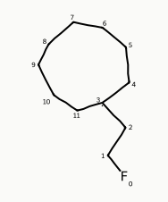 FCC[C]1CCCCCCCC1